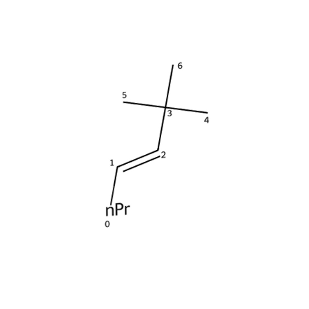 [CH2]CCC=CC(C)(C)C